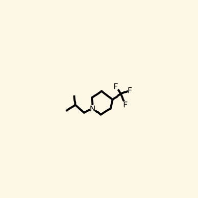 CC(C)CN1CCC(C(F)(F)F)CC1